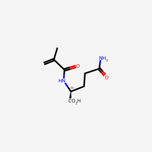 C=C(C)C(=O)N[C@@H](CCC(N)=O)C(=O)O